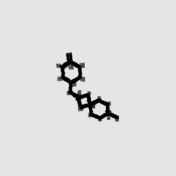 CN1CCC2(CC1)CN(CC1CCNCC1)C2